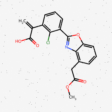 C=C(C(=O)O)c1cccc(-c2nc3c(CC(=O)OC)cccc3o2)c1Cl